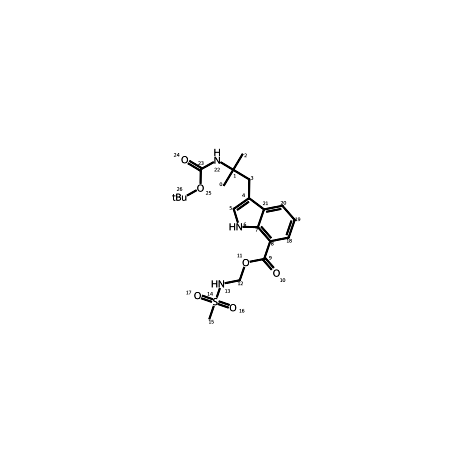 CC(C)(Cc1c[nH]c2c(C(=O)OCNS(C)(=O)=O)cccc12)NC(=O)OC(C)(C)C